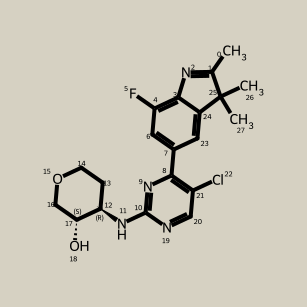 CC1=Nc2c(F)cc(-c3nc(N[C@@H]4CCOC[C@H]4O)ncc3Cl)cc2C1(C)C